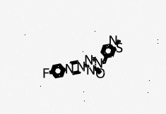 O=c1nc(N2CCN(c3ccc(F)cc3)CC2)ncn1Cc1ccc2ncsc2c1